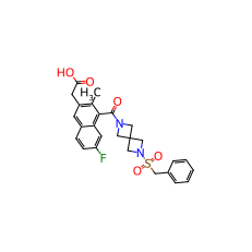 Cc1c(CC(=O)O)cc2ccc(F)cc2c1C(=O)N1CC2(C1)CN(S(=O)(=O)Cc1ccccc1)C2